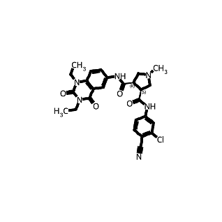 CCn1c(=O)c2cc(NC(=O)[C@H]3CN(C)C[C@H]3C(=O)Nc3ccc(C#N)c(Cl)c3)ccc2n(CC)c1=O